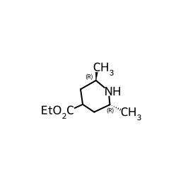 CCOC(=O)C1C[C@@H](C)N[C@H](C)C1